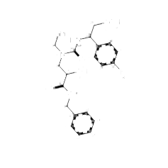 CC(C)CN(CC(O)C(=O)OCc1ccccc1)C(=O)NC(CC(=O)O)c1ccc(F)cc1